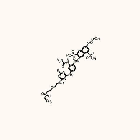 C=CS(=O)(=O)CCOCCNc1nc(F)nc(Nc2ccc(/N=N/c3cc4c(S(=O)(=O)O)cc(SOOO)cc4cc3S(=O)(=O)O)c(NC(N)=O)c2)n1